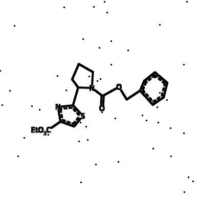 CCOC(=O)c1csc(C2CCCN2C(=O)OCc2ccccc2)n1